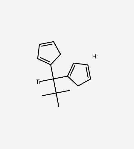 CC(C)(C)[C]([Ti])(C1=CC=CC1)C1=CC=CC1.[H-]